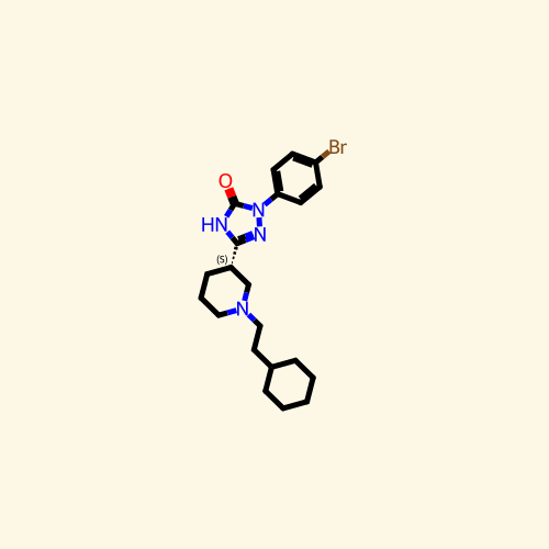 O=c1[nH]c([C@H]2CCCN(CCC3CCCCC3)C2)nn1-c1ccc(Br)cc1